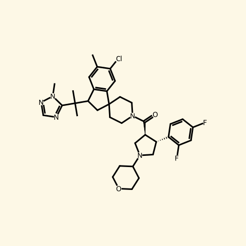 Cc1cc2c(cc1Cl)C1(CCN(C(=O)[C@@H]3CN(C4CCOCC4)C[C@H]3c3ccc(F)cc3F)CC1)CC2C(C)(C)c1ncnn1C